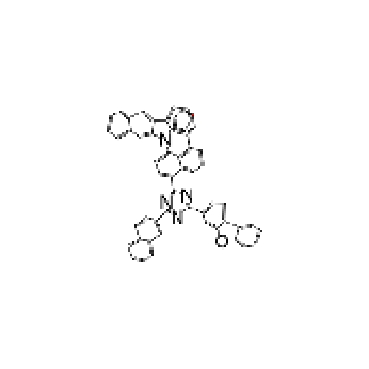 c1ccc(-c2cccc3c(-c4nc(-c5ccc6ccccc6c5)nc(-c5ccc6c(c5)oc5ccccc56)n4)ccc(-n4c5ccccc5c5cc6ccccc6cc54)c23)cc1